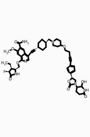 CC[C@@H]1[C@H](F)C(=O)N[C@@H]1COc1ncc(C#C[C@H]2CC[C@H](CN3CCC(OCCC#Cc4ccc([C@H]5CN(C6CCC(=O)NC6O)C(=O)O5)cc4)CC3)CC2)c2cc(C(N)=O)c(OC)cc12